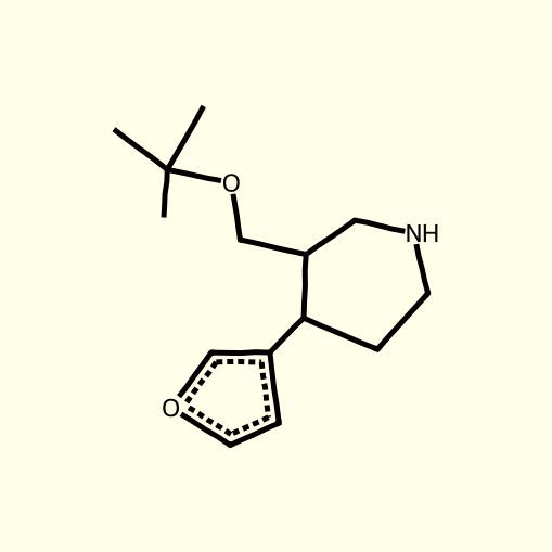 CC(C)(C)OCC1CNCCC1c1ccoc1